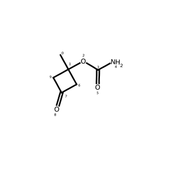 CC1(OC(N)=O)CC(=O)C1